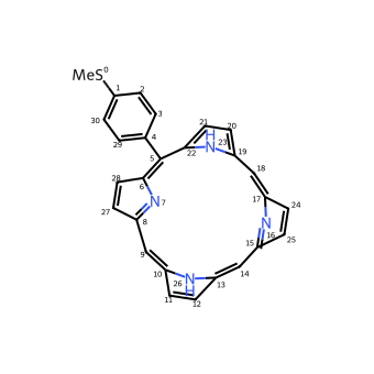 CSc1ccc(-c2c3nc(cc4ccc(cc5nc(cc6ccc2[nH]6)C=C5)[nH]4)C=C3)cc1